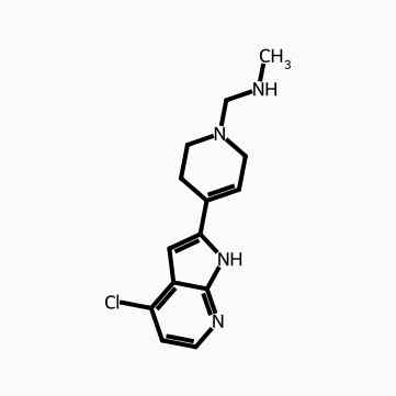 CNCN1CC=C(c2cc3c(Cl)ccnc3[nH]2)CC1